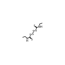 CCNC(=S)SSSSC(=S)NCC